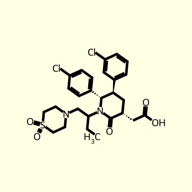 CCC(CN1CCS(=O)(=O)CC1)N1C(=O)[C@@H](CC(=O)O)C[C@H](c2cccc(Cl)c2)[C@H]1c1ccc(Cl)cc1